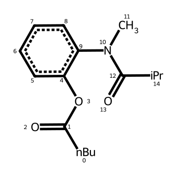 CCCCC(=O)Oc1ccccc1N(C)C(=O)C(C)C